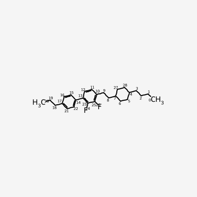 CCCCC1CCC(CCc2ccc(-c3ccc(CCC)cc3)c(F)c2F)CC1